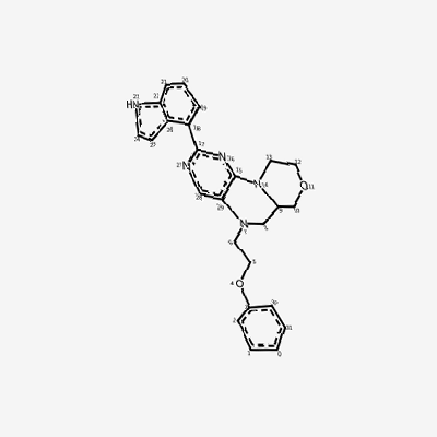 c1ccc(OCCN2CC3COCCN3c3nc(-c4cccc5[nH]ccc45)ncc32)cc1